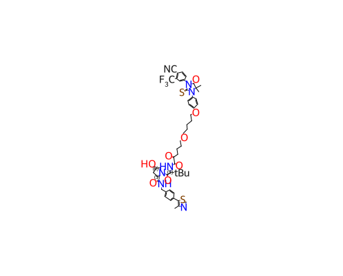 Cc1ncsc1-c1ccc(CNC(=O)[C@@H]2C[C@@H](O)CN2C(=O)[C@@H](NC(=O)C(=O)CCCCOCCCCCOc2ccc(N3C(=S)N(c4ccc(C#N)c(C(F)(F)F)c4)C(=O)C3(C)C)cc2)C(C)(C)C)cc1